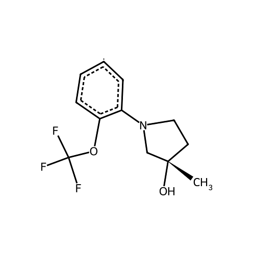 C[C@]1(O)CCN(c2c[c]ccc2OC(F)(F)F)C1